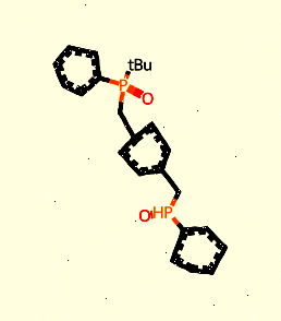 CC(C)(C)P(=O)(Cc1ccc(C[PH](=O)c2ccccc2)cc1)c1ccccc1